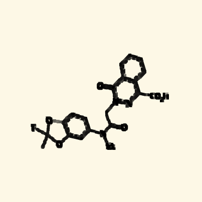 CCN(C(=O)Cn1nc(C(=O)O)c2ccccc2c1=O)c1ccc2c(c1)OC(C)(F)O2